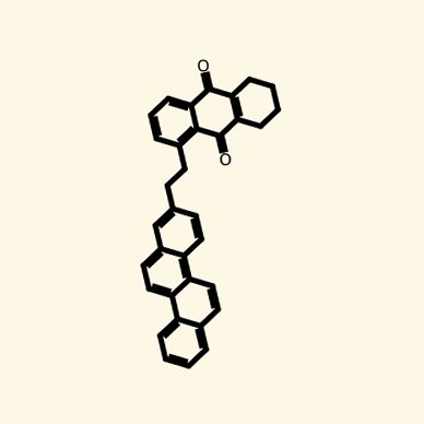 O=C1C2=C(CCCC2)C(=O)c2c(CCc3ccc4c(ccc5c6ccccc6ccc45)c3)cccc21